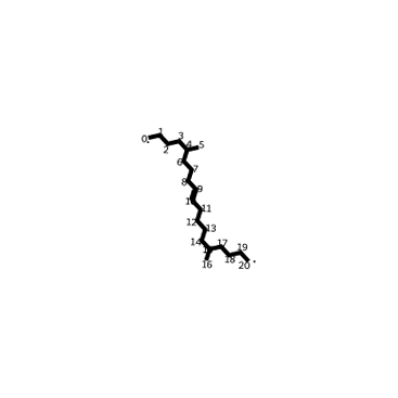 [CH2]CCCC(C)CCCC=CCCCCC(C)CCC[CH2]